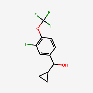 OC(c1ccc(OC(F)(F)F)c(F)c1)C1CC1